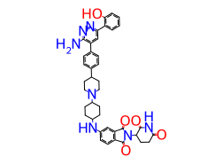 Nc1nnc(-c2ccccc2O)cc1-c1ccc(C2CCN(C3CCC(Nc4ccc5c(c4)C(=O)N(C4CCC(=O)NC4=O)C5=O)CC3)CC2)cc1